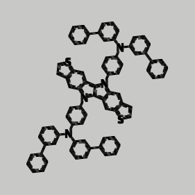 c1ccc(-c2cccc(N(c3ccc(-n4c5cc6ccsc6cc5c5c4c4cc6sccc6cc4n5-c4ccc(N(c5cccc(-c6ccccc6)c5)c5cccc(-c6ccccc6)c5)cc4)cc3)c3cccc(-c4ccccc4)c3)c2)cc1